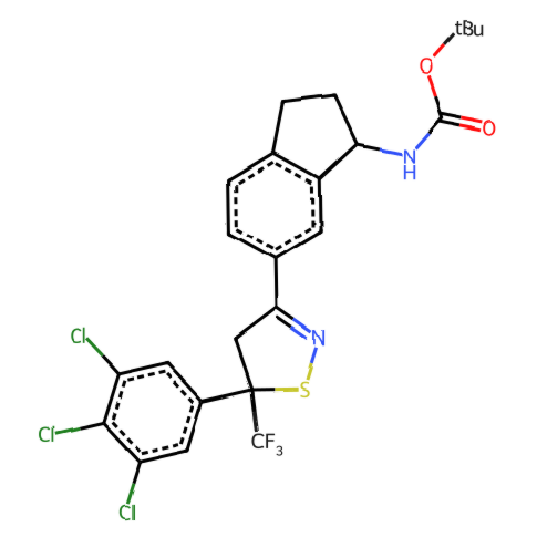 CC(C)(C)OC(=O)NC1CCc2ccc(C3=NSC(c4cc(Cl)c(Cl)c(Cl)c4)(C(F)(F)F)C3)cc21